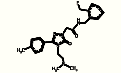 Cc1ccc(-c2nn(CC(=O)NCc3ccccc3CF)c(=O)n2CCN(C)C)cc1